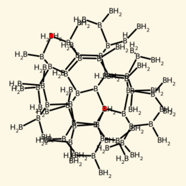 BBB(B(B)B)B(B(B)B)B(B(B(B)B)B(B)B)B(B(B(B(B(B)B)B(B)B)B(B(B)B)B(B)B)B(B(B(B)B)B(B)B)B(B(B)B)B(B)B)B(B(B(B(B)B)B(B)B)B(B(B)B)B(B)B)B(B(B(B)B)B(B)B)B(B(B)B)B(B)B